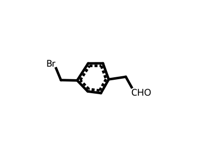 O=CCc1ccc(CBr)cc1